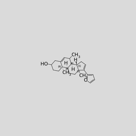 CC1C=C2CC(O)CC[C@]2(C)[C@@H]2CC[C@]3(C)C(c4ccco4)=CC[C@H]3[C@H]12